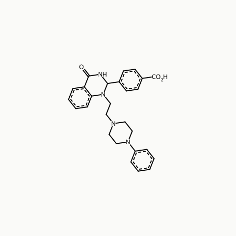 O=C(O)c1ccc(C2NC(=O)c3ccccc3N2CCN2CCN(c3ccccc3)CC2)cc1